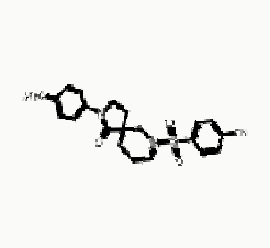 COc1ccc(N2CCC3(CCCN(S(=O)(=O)c4ccc(C#N)cc4)C3)C2=O)cc1